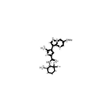 COc1cnc2c(-c3cc(C(=O)N[C@@H]4[C@H](N)CCCC4(F)F)sc3C)cnn2c1